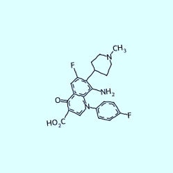 CN1CCC(c2c(F)cc3c(=O)c(C(=O)O)cn(-c4ccc(F)cc4)c3c2N)CC1